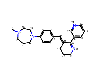 CN1CCCN(c2ccc(C=C3CCCN=C3c3cccnc3)cc2)CC1